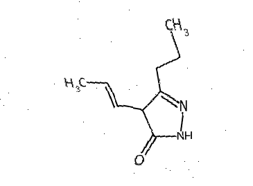 CC=CC1C(=O)NN=C1CCC